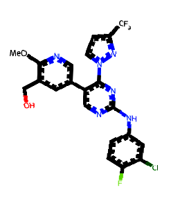 COc1ncc(-c2cnc(Nc3ccc(F)c(Cl)c3)nc2-n2ccc(C(F)(F)F)n2)cc1CO